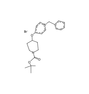 CC(C)(C)OC(=O)N1CCC(Oc2cc[n+](Cc3ccccc3)cc2)CC1.[Br-]